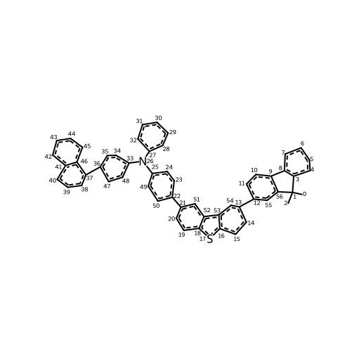 CC1(C)c2ccccc2-c2ccc(-c3ccc4sc5ccc(-c6ccc(N(c7ccccc7)c7ccc(-c8cccc9ccccc89)cc7)cc6)cc5c4c3)cc21